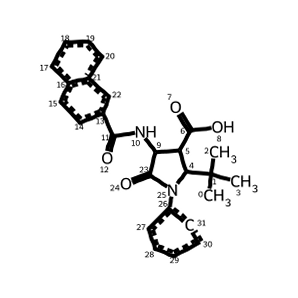 CC(C)(C)C1C(C(=O)O)C(NC(=O)c2ccc3ccccc3c2)C(=O)N1c1ccccc1